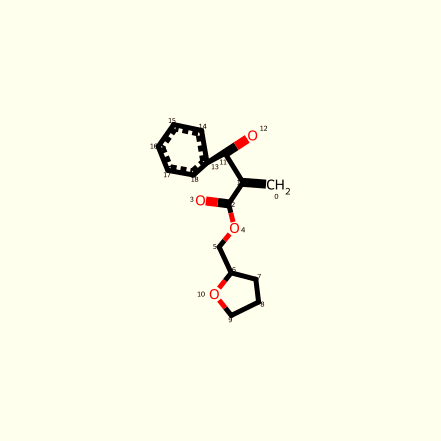 C=C(C(=O)OCC1CCCO1)C(=O)c1ccccc1